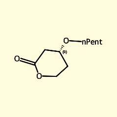 CCCCCO[C@@H]1CCOC(=O)C1